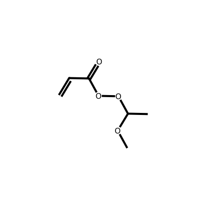 C=CC(=O)OOC(C)OC